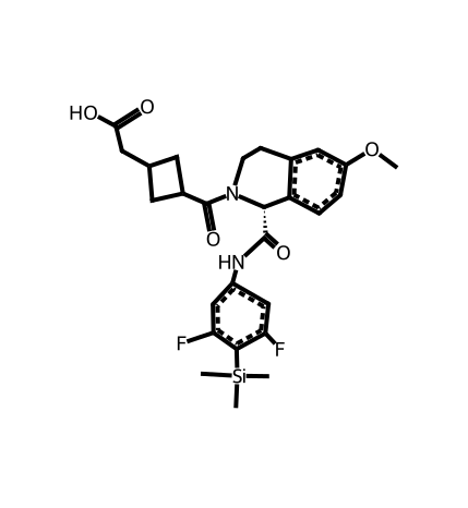 COc1ccc2c(c1)CCN(C(=O)C1CC(CC(=O)O)C1)[C@H]2C(=O)Nc1cc(F)c([Si](C)(C)C)c(F)c1